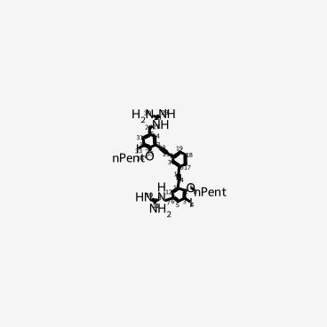 CCCCCOc1c(I)cc(CNC(=N)N)cc1C#Cc1cccc(C#Cc2cc(CNC(=N)N)cc(I)c2OCCCCC)c1